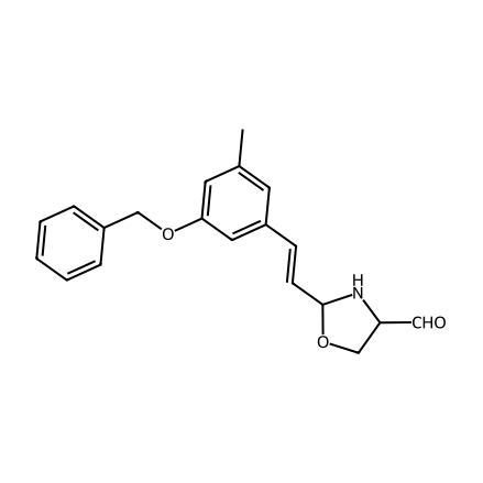 Cc1cc(C=CC2NC(C=O)CO2)cc(OCc2ccccc2)c1